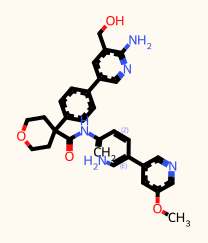 C=C(/C=C\C(=C/N)c1cncc(OC)c1)NC(=O)C1(c2ccc(-c3cnc(N)c(CO)c3)cc2)CCOCC1